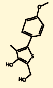 COc1ccc(-c2sc(CO)c(O)c2C)cc1